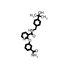 CC(C)(O)c1ccc(CNC(=O)c2cccnc2Oc2cccc(C(N)=O)c2)cc1